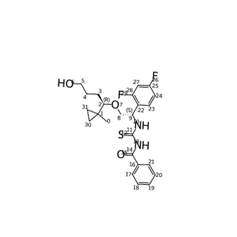 CC1([C@@H](CCCO)OC[C@@H](NC(=S)NC(=O)c2ccccc2)c2ccc(F)cc2F)CC1